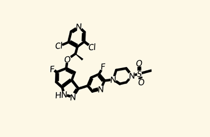 C[C@@H](Oc1cc2c(-c3cnc(N4CCN(S(C)(=O)=O)CC4)c(F)c3)n[nH]c2cc1F)c1c(Cl)cncc1Cl